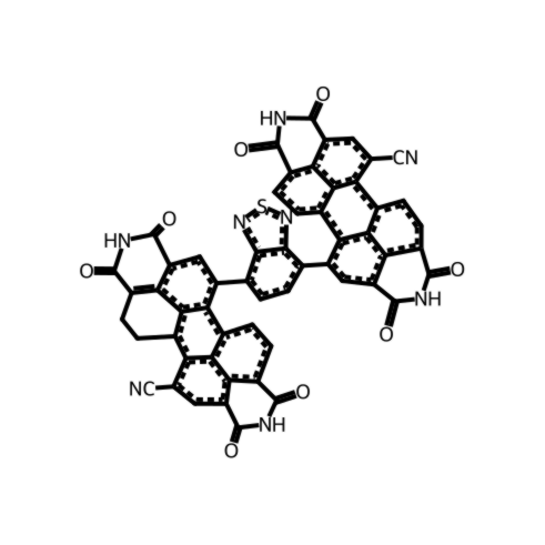 N#Cc1cc2c3c(ccc4c5c(-c6ccc(-c7cc8c9c(ccc%10c%11c(C#N)cc%12c%13c(ccc(c7c9%10)c%13%11)C(=O)NC%12=O)C(=O)NC8=O)c7nsnc67)cc6c7c5c(c1c34)CCC=7C(=O)NC6=O)C(=O)NC2=O